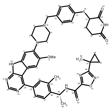 COc1cc2c(cc1N1CCN(Cc3ccc(SC4CCC(=O)NC4=O)cc3)CC1)[nH]c1ncnc(-c3ccc([C@@H](C)NC(=O)c4nc(C5(C)CC5)no4)c(C)c3)c12